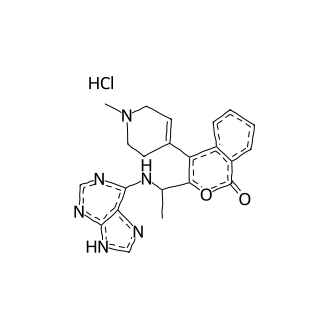 CC(Nc1ncnc2[nH]cnc12)c1oc(=O)c2ccccc2c1C1=CCN(C)CC1.Cl